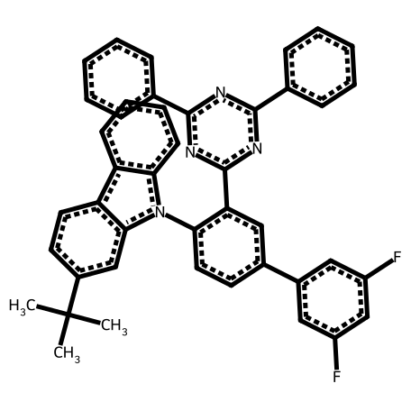 CC(C)(C)c1ccc2c3ccccc3n(-c3ccc(-c4cc(F)cc(F)c4)cc3-c3nc(-c4ccccc4)nc(-c4ccccc4)n3)c2c1